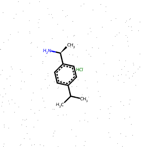 CC(C)c1ccc([C@H](C)N)cc1.Cl